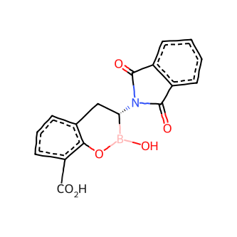 O=C(O)c1cccc2c1OB(O)[C@@H](N1C(=O)c3ccccc3C1=O)C2